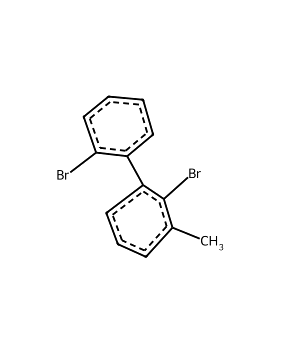 Cc1cccc(-c2ccccc2Br)c1Br